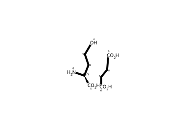 N[C@@H](CCO)C(=O)O.O=C(O)CCC(=O)O